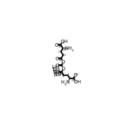 N[C@@H](CCC(=O)OC(=O)OC(=O)CC[C@H](N)C(=O)O)C(=O)O.[LiH].[LiH].[NaH].[NaH]